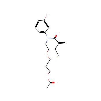 C=C(CCF)C(=O)N(CCOCCCOC(C)=O)c1cccc(Br)c1